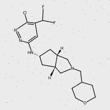 FC(F)c1cc(N[C@@H]2C[C@@H]3CN(CC4CCOCC4)C[C@@H]3C2)nnc1Cl